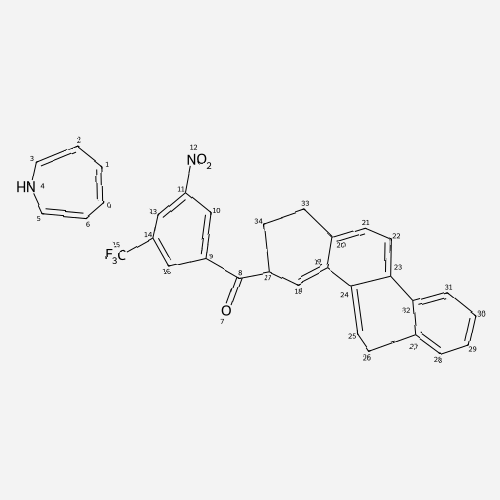 C1=CC=CNC=C1.O=C(c1cc([N+](=O)[O-])cc(C(F)(F)F)c1)C1C=c2c(ccc3c2=CCc2ccccc2-3)CC1